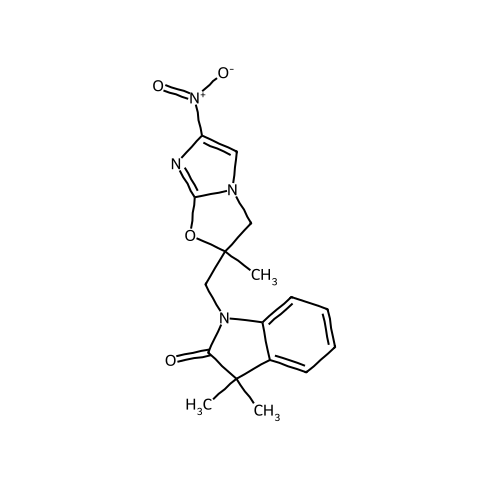 CC1(CN2C(=O)C(C)(C)c3ccccc32)Cn2cc([N+](=O)[O-])nc2O1